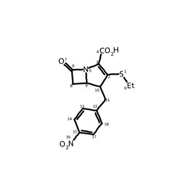 CCSC1=C(C(=O)O)N2C(=O)CC2C1Cc1ccc([N+](=O)[O-])cc1